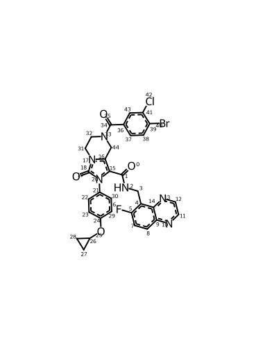 O=C(NCc1c(F)ccc2nccnc12)c1c2n(c(=O)n1-c1ccc(OC3CC3)cc1)CCN(C(=O)c1ccc(Br)c(Cl)c1)C2